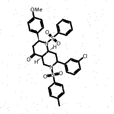 COc1ccc([C@@H]2CC(=O)[C@@H]3CN(S(=O)(=O)c4ccc(C)cc4)C(c4cccc(Cl)c4)C[C@@H]3N2S(=O)(=O)c2ccccc2)cc1